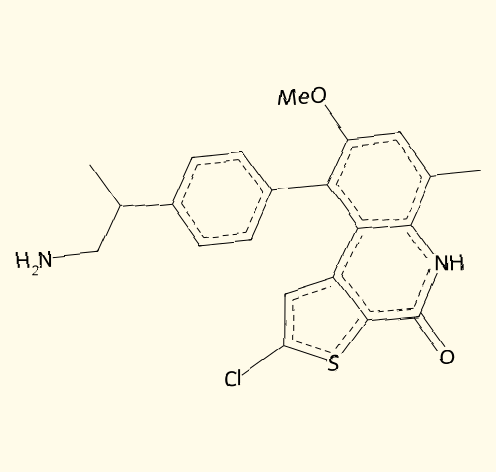 COc1cc(C)c2[nH]c(=O)c3sc(Cl)cc3c2c1-c1ccc(C(C)CN)cc1